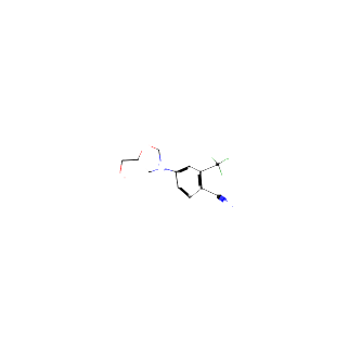 C[C@@H](O)[C@@H]1CN(c2ccc(C#N)c(C(F)(F)F)c2)[C@@H](C)O1